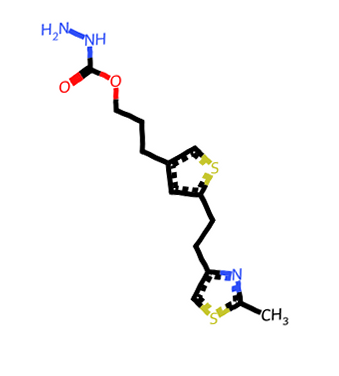 Cc1nc(CCc2cc(CCCOC(=O)NN)cs2)cs1